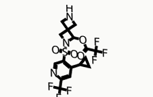 O=C(OC1N(S(=O)(=O)c2cnc(C(F)(F)F)cc2C2CC2)CC12CNC2)C(F)(F)F